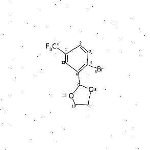 FC(F)(F)c1ccc(Br)c(C2OCCO2)c1